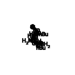 BOC=N[C@@H](COCCCC)C(=O)NNC(=O)[C@H](CC(N)=O)NC(=O)N[C@H](C(=O)OCc1ccccc1)C(C)OCCCC